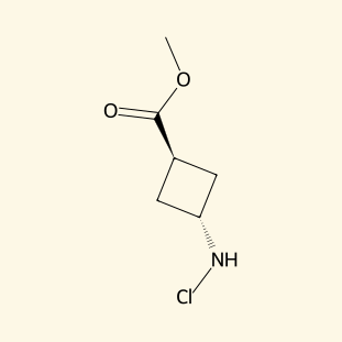 COC(=O)[C@H]1C[C@H](NCl)C1